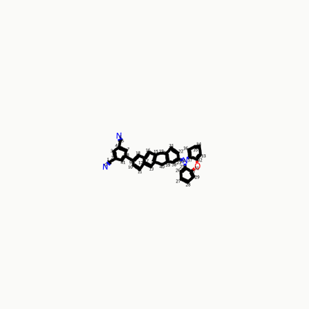 N#Cc1cc(C#N)cc(-c2ccc3cc4c(cc3c2)Cc2ccc(N3c5ccccc5Oc5ccccc53)cc2C4)c1